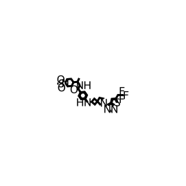 CC(NC(=O)c1ccc(NC2CC3(CCN(c4ncnc5sc(CC(F)(F)F)cc45)C3)C2)cc1)C1CCN(S(C)(=O)=O)CC1